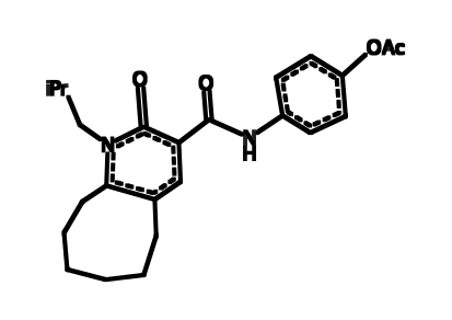 CC(=O)Oc1ccc(NC(=O)c2cc3c(n(CC(C)C)c2=O)CCCCCC3)cc1